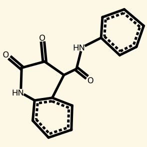 O=C1Nc2ccccc2C(C(=O)Nc2ccccc2)C1=O